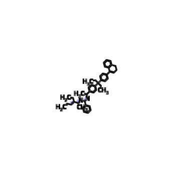 C=C/C=C(C=C)/C(C)=N/C(=N\C(=C)c1ccc(C(CC)(CC)c2ccc(C3=CCCc4ccccc43)cc2)cc1)c1ccccc1